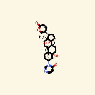 C[C@]12CC[C@H](n3cnccc3=O)C[C@@]1(O)CC[C@@H]1[C@@H]2CC[C@]2(C)[C@@H](c3ccc(=O)oc3)CC[C@]12O